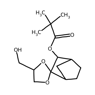 CC(C)(C)C(=O)OC1C2CCC(C2)C12OCC(CO)O2